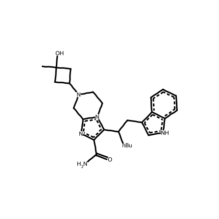 CCCCC(Cc1c[nH]c2ccccc12)c1c(C(N)=O)nc2n1CCN(C1CC(C)(O)C1)C2